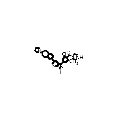 Cc1cc(-c2n[nH]c3ncc(-c4ccc5c(c4)CC[C@@H](N4CCCC4)CC5)cc23)cc(Cl)c1C(=O)N1CCNCC1